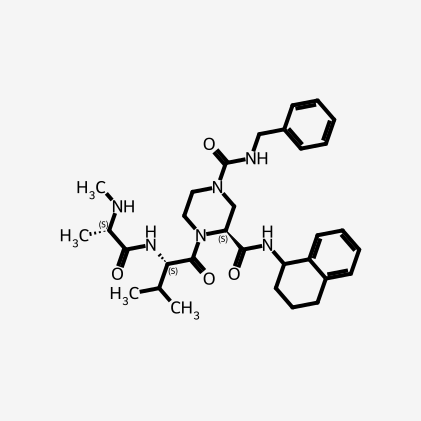 CN[C@@H](C)C(=O)N[C@H](C(=O)N1CCN(C(=O)NCc2ccccc2)C[C@H]1C(=O)NC1CCCc2ccccc21)C(C)C